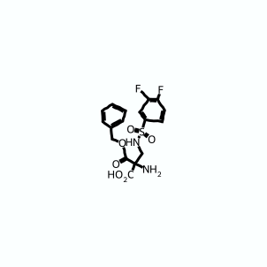 NC(CNS(=O)(=O)c1ccc(F)c(F)c1)(C(=O)O)C(=O)OCc1ccccc1